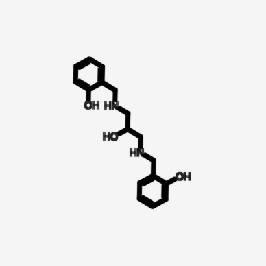 Oc1ccccc1CNCC(O)CNCc1ccccc1O